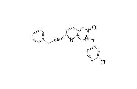 O=[n+]1cc2ccc(C#CCc3ccccc3)nc2cn1Cc1cccc(Cl)c1